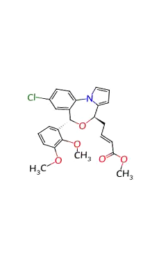 COC(=O)C=CC[C@H]1O[C@H](c2cccc(OC)c2OC)c2cc(Cl)ccc2-n2cccc21